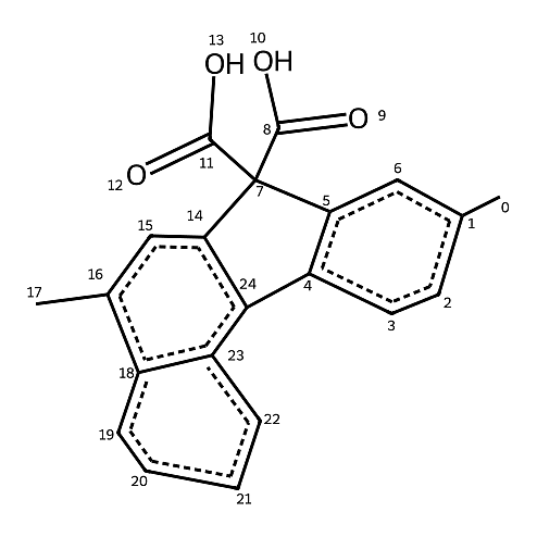 Cc1ccc2c(c1)C(C(=O)O)(C(=O)O)c1cc(C)c3ccccc3c1-2